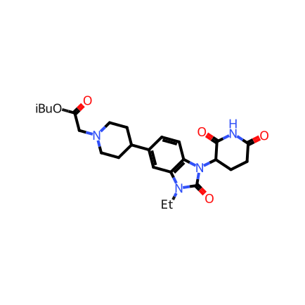 CCn1c(=O)n(C2CCC(=O)NC2=O)c2ccc(C3CCN(CC(=O)OCC(C)C)CC3)cc21